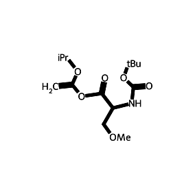 C=C(OC(=O)C(COC)NC(=O)OC(C)(C)C)OC(C)C